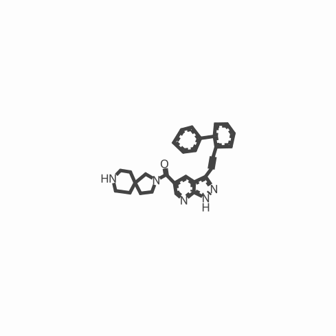 O=C(c1cnc2[nH]nc(C#Cc3ccccc3-c3ccccc3)c2c1)N1CCC2(CCNCC2)C1